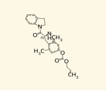 C=CCOC(=O)Oc1cc(C)c(C[C@H](N)C(=O)N2CCc3ccccc32)c(C)c1